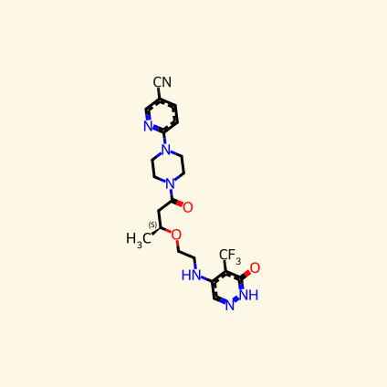 C[C@@H](CC(=O)N1CCN(c2ccc(C#N)cn2)CC1)OCCNc1cn[nH]c(=O)c1C(F)(F)F